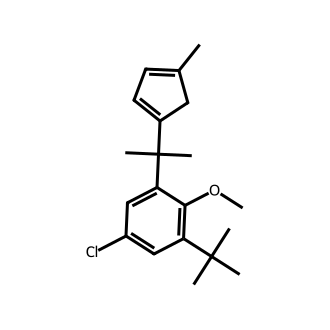 COc1c(C(C)(C)C)cc(Cl)cc1C(C)(C)C1=CC=C(C)C1